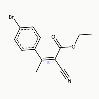 CCOC(=O)/C(C#N)=C(/C)c1ccc(Br)cc1